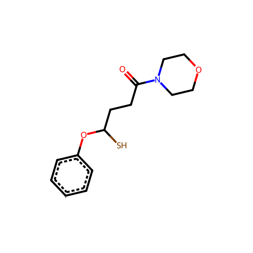 O=C(CCC(S)Oc1cc[c]cc1)N1CCOCC1